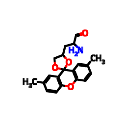 Cc1ccc2c(c1)C1(OCC(CC(N)C=O)O1)c1cc(C)ccc1O2